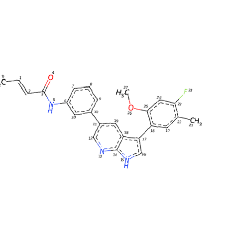 C/C=C/C(=O)Nc1cccc(-c2cnc3[nH]cc(-c4cc(C)c(F)cc4OC)c3c2)c1